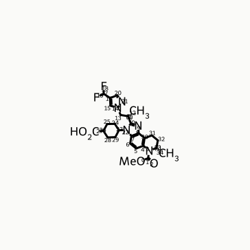 COC(=O)N1c2ccc3c(nc([C@H](C)Cn4cc(C(F)F)cn4)n3C3CCC(C(=O)O)CC3)c2CC[C@@H]1C